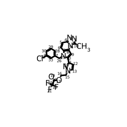 Cc1nnc2ccc3c(cc(-c4ccn(CCOC(=O)C(F)(F)F)n4)n3Cc3cccc(Cl)c3)n12